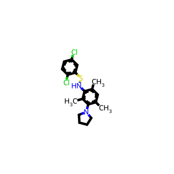 Cc1cc(C)c(N2CCCC2)c(C)c1NSc1cc(Cl)ccc1Cl